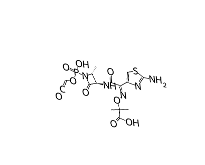 C[C@@H]1[C@@H](NC(=O)/C(=N\OC(C)(C)C(=O)O)c2csc(N)n2)C(=O)N1P(=O)(O)OC=C=O